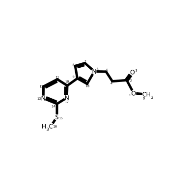 COC(=O)CCn1ccc(-c2ccnc(SC)n2)c1